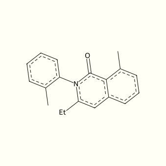 CCc1cc2cccc(C)c2c(=O)n1-c1ccccc1C